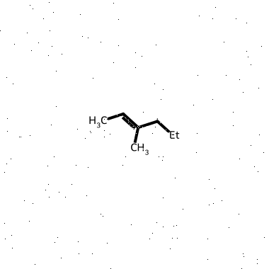 C/C=C(\C)[CH]CC